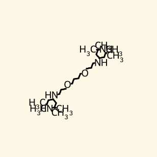 CC1(C)CC(NCCCOCCCCOCCCNC2CC(C)(C)NC(C)(C)C2)CC(C)(C)N1